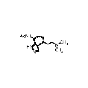 CC(=O)Nc1ccc(CCN(C)C)c2cn[nH]c12